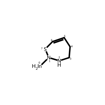 [InH2][N]1NCCC=CS1